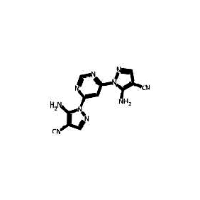 [C-]#[N+]c1cnn(-c2cc(-n3ncc(C#N)c3N)ncn2)c1N